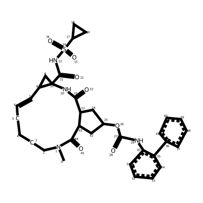 CN1CCCC/C=C/C2CC2(C(=O)NS(=O)(=O)C2CC2)NC(=O)C2CC(OC(=O)Nc3ccccc3-c3ccccc3)CC2C1=O